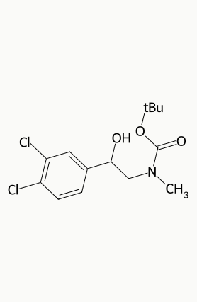 CN(CC(O)c1ccc(Cl)c(Cl)c1)C(=O)OC(C)(C)C